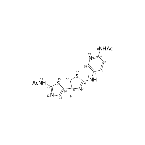 CC(=O)Nc1ccc(NC2=NC(C)(c3cnc(NC(C)=O)s3)CS2)cn1